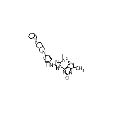 Cc1csc2c(-n3nc(Nc4ccc(N5CC6CN(C7CC8CCC7C8)CC6C5)nc4)nc3N)nc(Cl)nc12